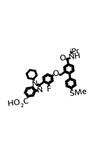 CSc1ccc(-c2ccc(C(=O)NC(C)C)cc2COc2ccc(-c3nc4cc(C(=O)O)ccc4n3C3CCCCC3)c(F)c2)cc1